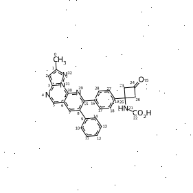 Cc1cc2ncc3cc(-c4ccccc4)c(-c4ccc(C5(NC(=O)O)CC(=O)C5)cc4)nc3n2n1